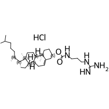 CC(C)CCC[C@@H](C)[C@H]1CC[C@H]2[C@@H]3CC=C4C[C@@H](OC(=O)NCCCNC(=N)N)CC[C@]4(C)[C@H]3CC[C@]12C.Cl